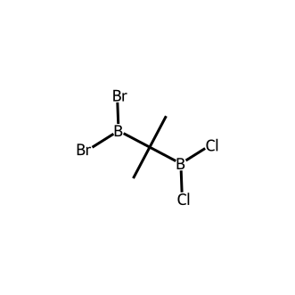 CC(C)(B(Cl)Cl)B(Br)Br